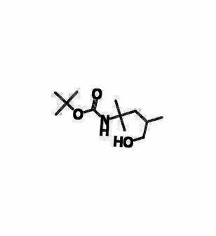 CC(CO)CC(C)(C)NC(=O)OC(C)(C)C